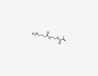 C=C(C)C(=O)OCCOC(=O)CCCN